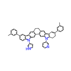 Cc1cccc(C2=Cc3c(n(-c4cccnc4)c4cc5c(cc34)CCc3cc4c6cc(-c7cccc(C)c7)ccc6n(-c6cc[nH]c6)c4cc3-5)CC2)c1